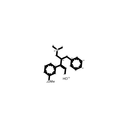 CC=C(c1cccc(OC)c1)C(Cc1ccccc1)CN(C)C.Cl